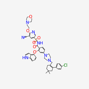 CC1(C)CCC(CN2CCN(c3ccc(C(=O)NS(=O)(=O)c4cnc(OCCN5CCOCC5)c(C#N)c4)c(Oc4cccc5[nH]ccc45)c3)CC2)=C(c2ccc(Cl)cc2)C1